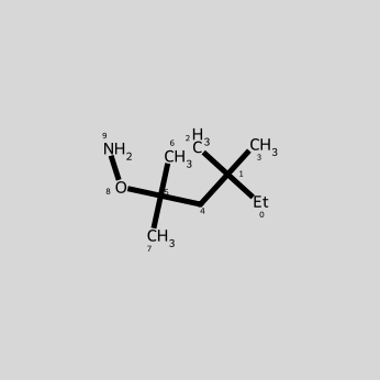 CCC(C)(C)CC(C)(C)ON